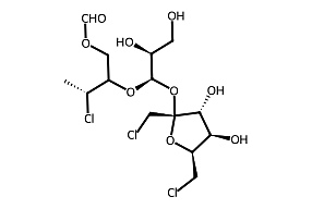 C[C@@H](Cl)C(COC=O)O[C@H](O[C@@]1(CCl)O[C@H](CCl)[C@H](O)[C@H]1O)[C@@H](O)CO